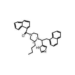 CCCC[C@H]1CN(C(=O)c2cccc3ccccc23)CCN1C(Cc1cccc2ccccc12)c1cnc[nH]1